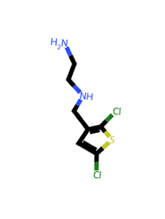 NCCNCc1cc(Cl)sc1Cl